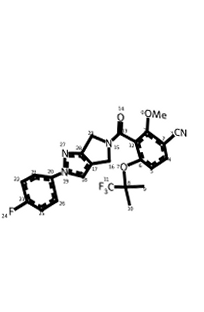 COc1c(C#N)ccc(OC(C)(C)C(F)(F)F)c1C(=O)N1Cc2cn(-c3ccc(F)cc3)nc2C1